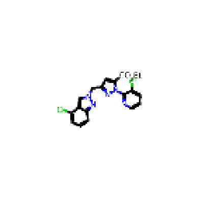 CCOC(=O)c1cc(Cn2cc3c(Cl)cccc3n2)nn1-c1ncccc1Cl